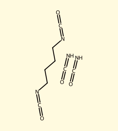 N=C=O.N=C=O.O=C=NCCCCN=C=O